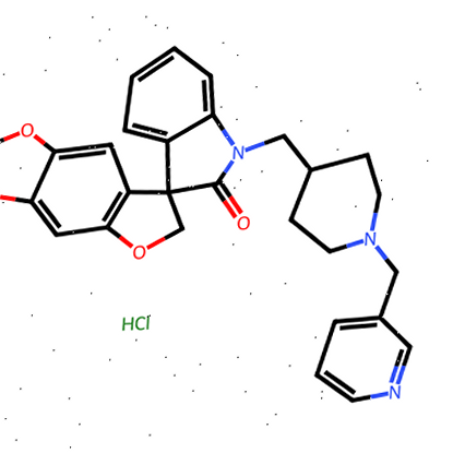 Cl.O=C1N(CC2CCN(Cc3cccnc3)CC2)c2ccccc2C12COc1cc3c(cc12)OCO3